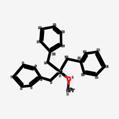 CCCO[Si](Cc1ccccc1)(Cc1ccccc1)Cc1ccccc1